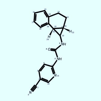 N#Cc1ccc(NC(=O)NC2[C@H]3CCc4ccccc4[C@@H]23)nc1